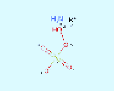 N.O=S(=O)([O-])OO.[K+]